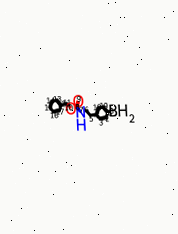 Bc1ccc(CCNC(=O)OCc2ccccc2)cc1